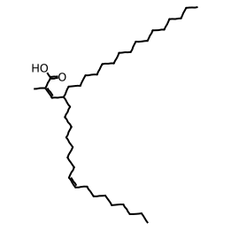 CCCCCCCC/C=C\CCCCCCCC(C=C(C)C(=O)O)CCCCCCCCCCCCCCCC